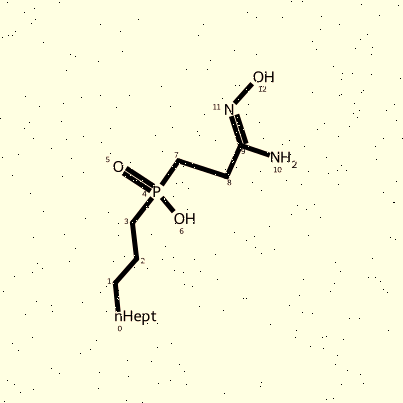 CCCCCCCCCCP(=O)(O)CCC(N)=NO